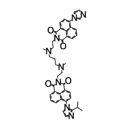 CC(C)c1nccn1-c1ccc2c3c(cccc13)C(=O)N(CCN(C)CCCN(C)CCN1C(=O)c3cccc4c(-n5ccnc5)ccc(c34)C1=O)C2=O